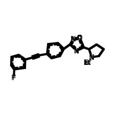 CCN1CCCC1c1nc(-c2ccc(C#Cc3cccc(F)c3)cc2)no1